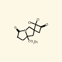 CCOC(=O)C12CCC(=O)N1CC1(CC(=O)C1(Cl)Cl)C2